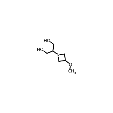 COC1CN(C(CO)CO)C1